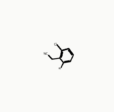 N#CCc1c(Cl)cccc1Br